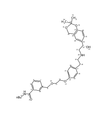 CCCCNC(=O)c1cccc(COCCOc2ccc(CCNC[C@@H](O)c3ccc4c(c3)COC(C)(C)O4)cc2)c1